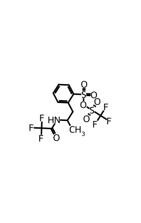 CC(Cc1ccccc1S(=O)(=O)OS(=O)(=O)C(F)(F)F)NC(=O)C(F)(F)F